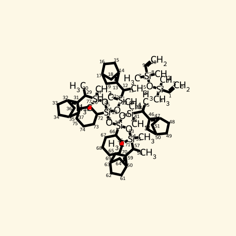 C=C[Si](C)(C)O[Si](C)(C)C=C.CC(C1=C2CCC(C2)C1)[Si](C)(C)O[Si](O[Si](C)(C)C(C)C1=C2CCC(C2)C1)(O[Si](O[Si](C)(C)C(C)C1=C2CCC(C2)C1)(O[Si](C)(C)C(C)C1=C2CCC(C2)C1)C1CCCCC1)C1CCCCC1